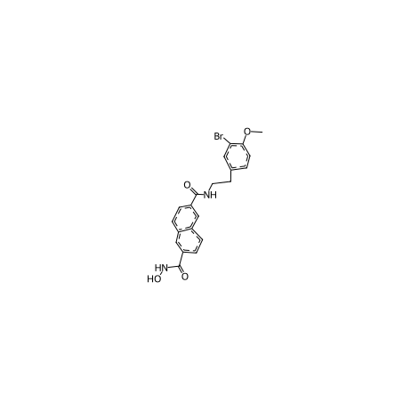 COc1ccc(CCNC(=O)c2ccc3cc(C(=O)NO)ccc3c2)cc1Br